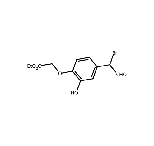 CCOC(=O)COc1ccc(C(Br)C=O)cc1O